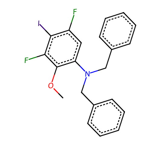 COc1c(N(Cc2ccccc2)Cc2ccccc2)cc(F)c(I)c1F